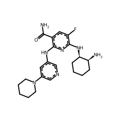 NC(=O)c1cc(F)c(N[C@@H]2CCCC[C@@H]2N)nc1Nc1cncc(N2CCCCC2)c1